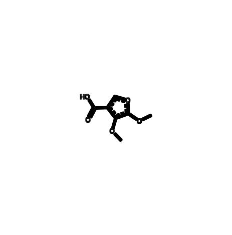 COc1occ(C(=O)O)c1OC